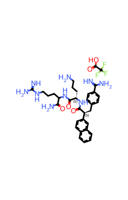 N=C(N)NCCCC(NC(=O)[C@H](CCCN)NC(=O)[C@@H](Cc1ccc(C(=N)N)cc1)c1ccc2ccccc2c1)C(N)=O.O=C(O)C(F)(F)F